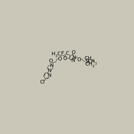 CC(COc1cnn(COCC[Si](C)(C)C)c(=O)c1C(F)(F)F)OCCC(=O)N1CCN(c2ccc(Cl)cn2)CC1